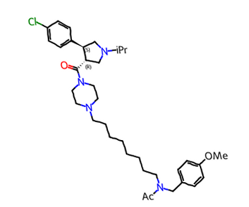 COc1ccc(CN(CCCCCCCCN2CCN(C(=O)[C@H]3CN(C(C)C)C[C@@H]3c3ccc(Cl)cc3)CC2)C(C)=O)cc1